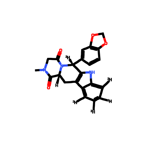 [2H]c1c([2H])c([2H])c2c3c([nH]c2c1[2H])[C@@]([2H])(c1ccc2c(c1)OCO2)N1C(=O)CN(C)C(=O)[C@H]1C3